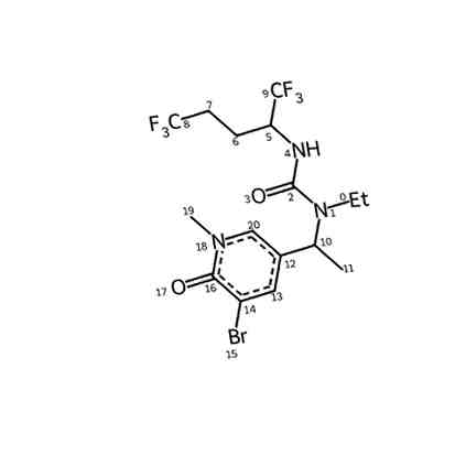 CCN(C(=O)NC(CCC(F)(F)F)C(F)(F)F)C(C)c1cc(Br)c(=O)n(C)c1